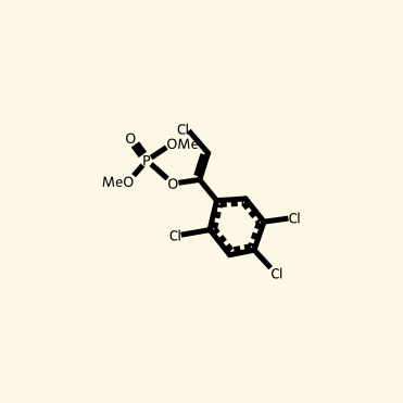 COP(=O)(OC)OC(=CCl)c1cc(Cl)c(Cl)cc1Cl